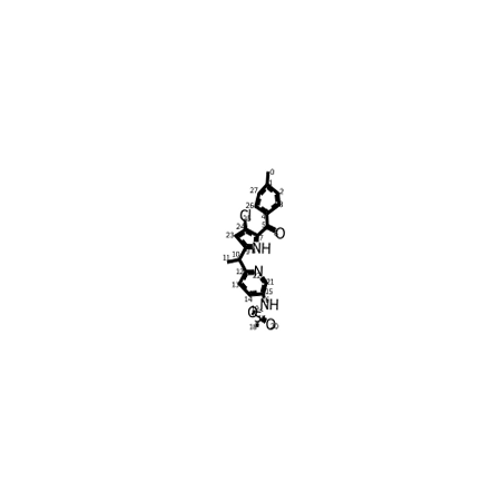 Cc1ccc(C(=O)c2[nH]c(C(C)c3ccc(NS(C)(=O)=O)cn3)cc2Cl)cc1